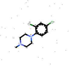 CN1CCN(c2ccc(Cl)cc2Cl)CC1